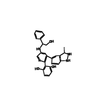 CC1NNc2ccc(-c3cc(NC(CO)c4ccccc4)cnc3-c3c(O)cccc3O)cc21